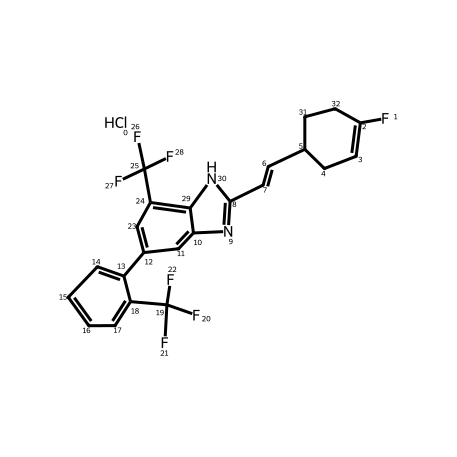 Cl.FC1=CCC(/C=C/c2nc3cc(-c4ccccc4C(F)(F)F)cc(C(F)(F)F)c3[nH]2)CC1